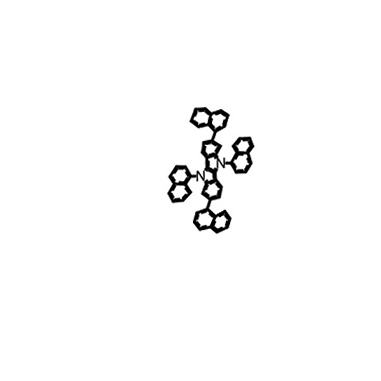 c1ccc2c(-c3ccc4c(c3)n(-c3cccc5ccccc35)c3c5ccc(-c6cccc7ccccc67)cc5n(-c5cccc6ccccc56)c43)cccc2c1